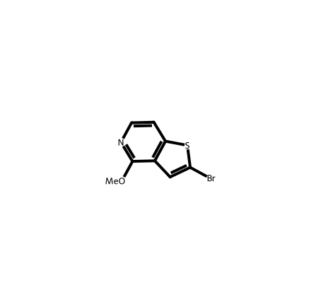 COc1nccc2sc(Br)cc12